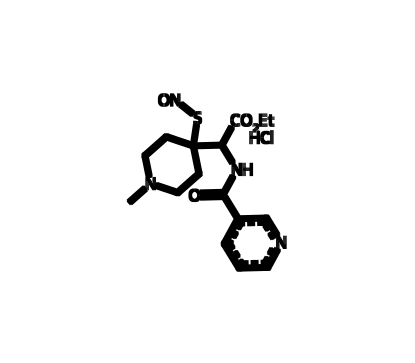 CCOC(=O)C(NC(=O)c1cccnc1)C1(SN=O)CCN(C)CC1.Cl